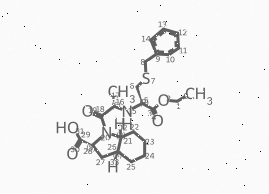 CCOC(=O)[C@H](CSCc1ccccc1)N[C@@H](C)C(=O)N1[C@@H]2CCCC[C@@H]2C[C@H]1C(=O)O